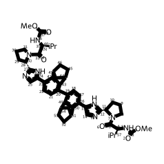 COC(=O)N[C@H](C(=O)N1CCC[C@H]1c1ncc(-c2ccc(-c3ccc(-c4cnc([C@@H]5CCCN5C(=O)[C@@H](NC(=O)OC)C(C)C)[nH]4)c4c3C3CCC4C3)c3c2C2CCC3C2)[nH]1)C(C)C